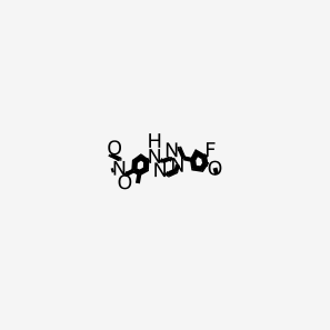 COc1ccc(C2CN=C3C(Nc4ccc(C(=O)N(C)CC=O)c(C)c4)=NC=CN32)cc1F